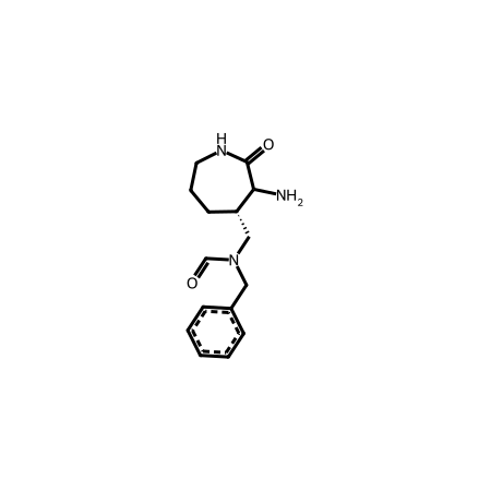 NC1C(=O)NCCC[C@H]1CN(C=O)Cc1ccccc1